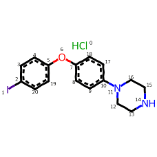 Cl.Ic1ccc(Oc2ccc(N3CCNCC3)cc2)cc1